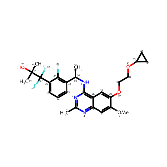 COc1cc2nc(C)nc(N[C@H](C)c3cccc(C(F)(F)C(C)(C)O)c3F)c2cc1OCCOC1CC1